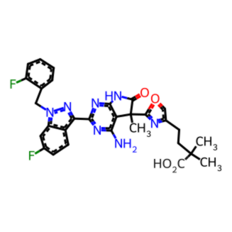 CC(C)(CCc1coc(C2(C)C(=O)Nc3nc(-c4nn(Cc5ccccc5F)c5cc(F)ccc45)nc(N)c32)n1)C(=O)O